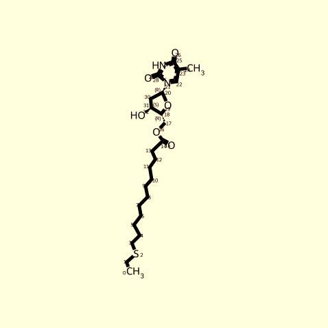 CCSCCCCCCCCCCCC(=O)OC[C@H]1O[C@@H](n2cc(C)c(=O)[nH]c2=O)C[C@@H]1O